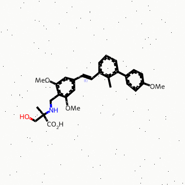 COc1ccc(-c2cccc(/C=C/c3cc(OC)c(CNC(C)(CO)C(=O)O)c(OC)c3)c2C)cc1